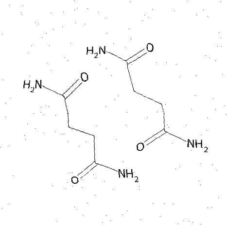 NC(=O)CCC(N)=O.NC(=O)CCC(N)=O